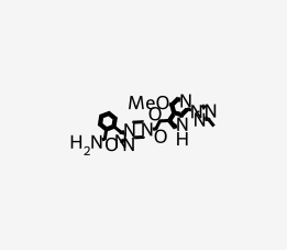 COc1cnc(-n2cnc(C)n2)c2[nH]cc(C(=O)C(=O)N3CCn4c(nnc4-c4ccccc4C(N)=O)C3)c12